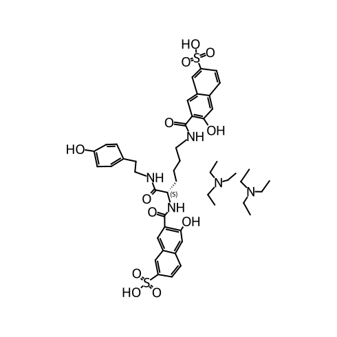 CCN(CC)CC.CCN(CC)CC.O=C(NCCCC[C@H](NC(=O)c1cc2cc(S(=O)(=O)O)ccc2cc1O)C(=O)NCCc1ccc(O)cc1)c1cc2cc(S(=O)(=O)O)ccc2cc1O